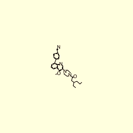 CCCC(CC)CC(=O)N1CCN(c2cnc3c(-c4ccc(C#N)cc4)cccc3c2OC)CC1